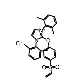 C=CS(=O)(=O)c1ccc(Oc2n(-c3c(C)cccc3C)cc[n+]2-c2c(C)cccc2C)cc1.[Cl-]